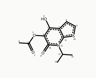 CC(=O)Oc1c(O)c2ccsc2n(C(C)C)c1=O